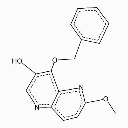 COc1ccc2ncc(O)c(OCc3ccccc3)c2n1